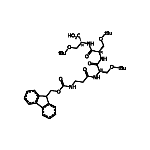 CC(C)(C)OC[C@@H](NC(=O)[C@@H](COC(C)(C)C)NC(=O)[C@@H](COC(C)(C)C)NC(=O)CCNC(=O)OCC1c2ccccc2-c2ccccc21)C(=O)O